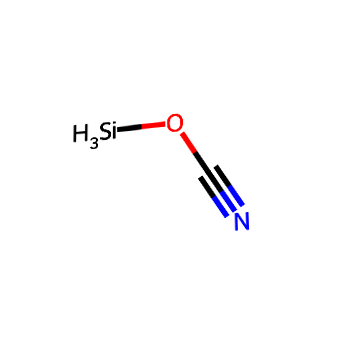 N#CO[SiH3]